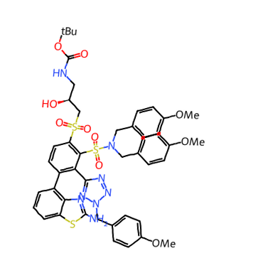 COc1ccc(CN(Cc2ccc(OC)cc2)S(=O)(=O)c2c(S(=O)(=O)C[C@@H](O)CNC(=O)OC(C)(C)C)ccc(-c3cccc4sc(N)nc34)c2-c2nnn(Cc3ccc(OC)cc3)n2)cc1